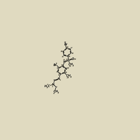 CCN(C)C=Nc1cc(Br)c(N=S(C)(=O)c2ccc(Br)cc2)nc1C